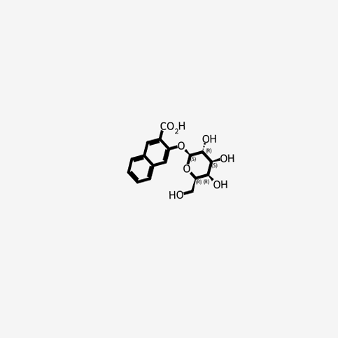 O=C(O)c1cc2ccccc2cc1O[C@@H]1O[C@H](CO)[C@H](O)[C@H](O)[C@H]1O